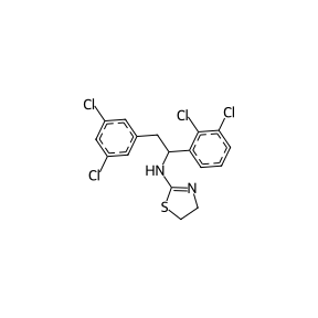 Clc1cc(Cl)cc(CC(NC2=NCCS2)c2cccc(Cl)c2Cl)c1